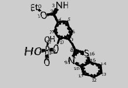 CCOC(=N)c1ccc(-c2nc3ccccc3s2)c(OP(=O)(O)O)c1